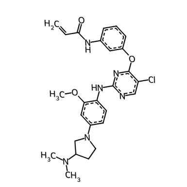 C=CC(=O)Nc1cccc(Oc2nc(Nc3ccc(N4CCC(N(C)C)C4)cc3OC)ncc2Cl)c1